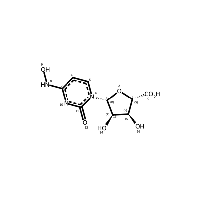 O=C(O)[C@H]1O[C@@H](n2ccc(NO)nc2=O)[C@H](O)[C@@H]1O